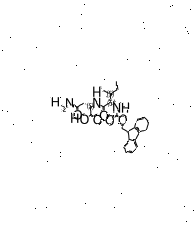 CC[C@H](C)[C@H](NC(=O)OCC1C2=C(CCC=C2)c2ccccc21)C(=O)N[C@@H](CC(N)=O)C(=O)O